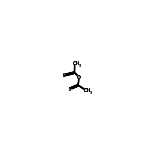 CC(=S)OC(C)=S